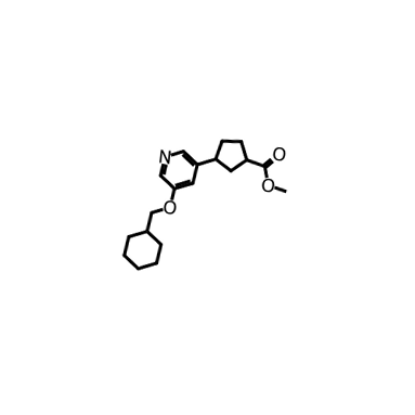 COC(=O)C1CCC(c2cncc(OCC3CCCCC3)c2)C1